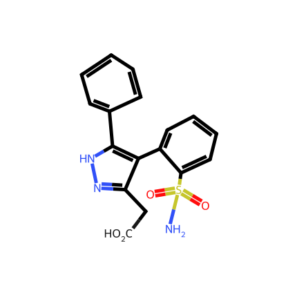 NS(=O)(=O)c1ccccc1-c1c(CC(=O)O)n[nH]c1-c1ccccc1